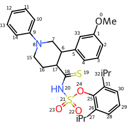 COc1cccc(C2CN(c3ccccc3)CCC2C(=S)NS(=O)(=O)Oc2c(C(C)C)cccc2C(C)C)c1